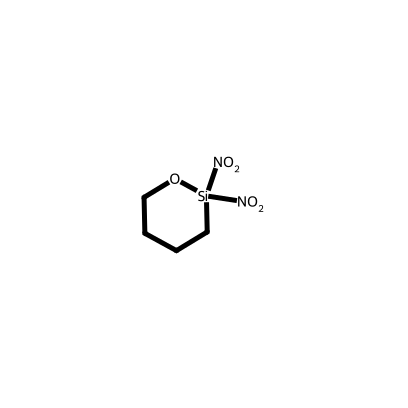 O=[N+]([O-])[Si]1([N+](=O)[O-])CCCCO1